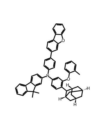 Cc1ccccc1Oc1cc(N(c2ccc(-c3ccc4c(c3)oc3ccccc34)cc2)c2ccc3c(c2)C(C)(C)c2ccccc2-3)ccc1C1[C@H]2C[C@@H]3C[C@@H](C[C@@H]1C3)C2